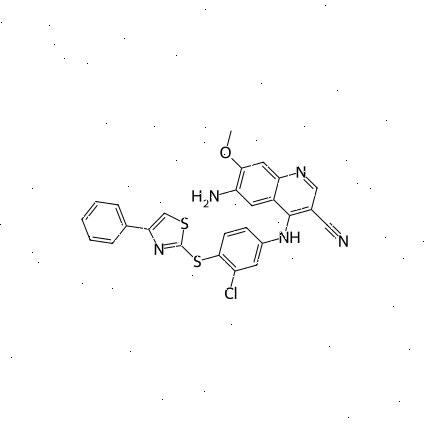 COc1cc2ncc(C#N)c(Nc3ccc(Sc4nc(-c5ccccc5)cs4)c(Cl)c3)c2cc1N